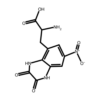 NC(Cc1cc([N+](=O)[O-])cc2[nH]c(=O)c(=O)[nH]c12)C(=O)O